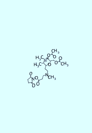 CC(=O)OCC1OC(CCN(C)CCC(=O)ON2C(=O)CCC2=O)C(C)[C@@H](C)[C@H]1OC(C)=O